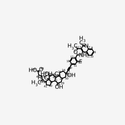 CC(=O)c1c(C)nc2ccccc2c1NCc1ccc(C#C[C@@]2(O)CC[C@@]3(C)C(C[C@@H](O)C4C3C[C@H](O)[C@@]3(C)C4CC[C@@H]3C(C)CCC(=O)O)C2)cc1F